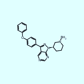 BN1CCC[C@@H](n2nc(-c3ccc(Oc4ccccc4)cc3)c3cncnc32)C1